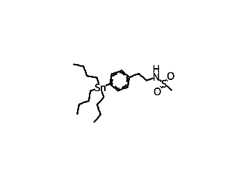 CCC[CH2][Sn]([CH2]CCC)([CH2]CCC)[c]1ccc(CCNS(C)(=O)=O)cc1